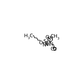 CCCCCCOc1nnc(N2C(=O)N(C)CC2NCc2ccco2)s1